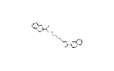 IC(CCCCCCCCC(I)N1C=Cc2ccccc2C1)N1C=Cc2ccccc2C1